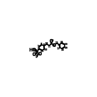 CS(=O)(=O)N(O)c1ccc(CCC(=O)OCc2ccccc2)cc1